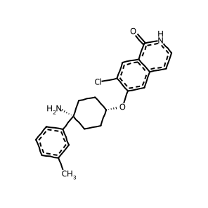 Cc1cccc([C@]2(N)CC[C@@H](Oc3cc4cc[nH]c(=O)c4cc3Cl)CC2)c1